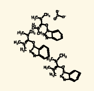 CN(C)C(On1nnc2ccccc21)=[N+](C)C.CN(C)C(On1nnc2ccccc21)=[N+](C)C.CN(C)C(On1nnc2ccccc21)=[N+](C)C.[O-]B([O-])[O-]